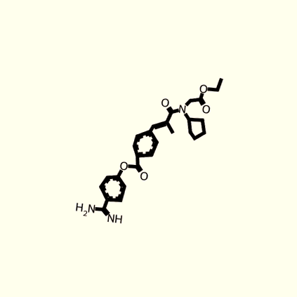 CCOC(=O)CN(C(=O)/C(C)=C/c1ccc(C(=O)Oc2ccc(C(=N)N)cc2)cc1)C1CCCC1